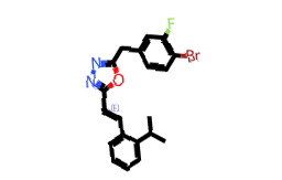 CC(C)c1ccccc1/C=C/c1nnc(Cc2ccc(Br)c(F)c2)o1